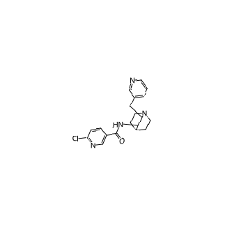 O=C(NC1C2CCN(CC2)C1Cc1cccnc1)c1ccc(Cl)nc1